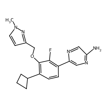 Cn1ccc(COc2c(C3CCC3)ccc(-c3cnc(N)cn3)c2F)n1